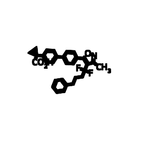 Cc1noc(-c2ccc(-c3ccc(C4(C(=O)O)CC4)cc3)cc2)c1C(F)(F)CCCc1ccccc1